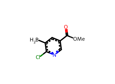 Bc1cc(C(=O)OC)cnc1Cl